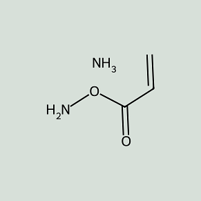 C=CC(=O)ON.N